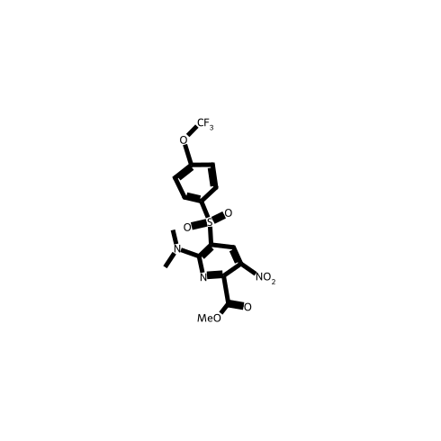 COC(=O)c1nc(N(C)C)c(S(=O)(=O)c2ccc(OC(F)(F)F)cc2)cc1[N+](=O)[O-]